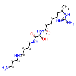 CC(CCCCCC(=O)NC(O)C(=O)NCCCCNCCCN)NC(=N)N